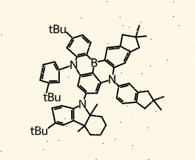 CC1(C)Cc2ccc(N3c4cc5c(cc4B4c6ccc(C(C)(C)C)cc6N(c6cccc(C(C)(C)C)c6)c6cc(N7c8ccc(C(C)(C)C)cc8C8(C)CCCCC78C)cc3c64)CC(C)(C)C5)cc2C1